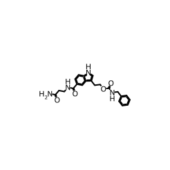 NC(=O)CCNC(=O)c1ccc2[nH]cc(CCOC(=O)NCc3ccccc3)c2c1